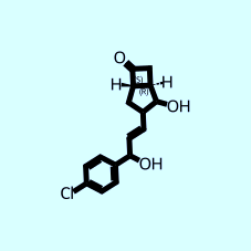 O=C1C[C@H]2C(O)C(C=CC(O)c3ccc(Cl)cc3)C[C@H]12